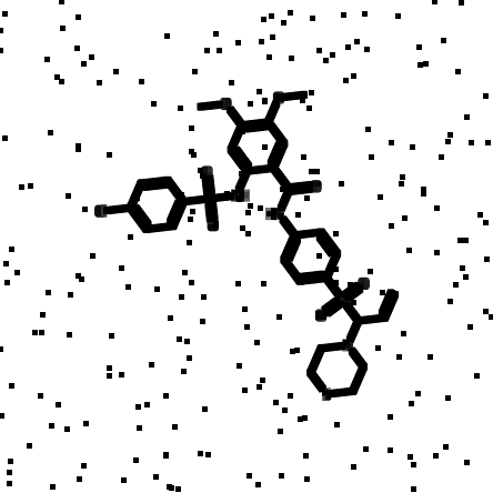 C=CC(N1CCSCC1)S(=O)(=O)c1ccc(NC(=O)c2cc(OC)c(OC)cc2NS(=O)(=O)c2ccc(Cl)cc2)cc1